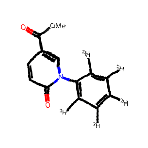 [2H]c1c([2H])c([2H])c(-n2cc(C(=O)OC)ccc2=O)c([2H])c1[2H]